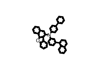 c1ccc(-c2ccc(N(c3cccc(-c4cccc5ccccc45)c3)c3cc4ccccc4c4oc5ccccc5c34)cc2)cc1